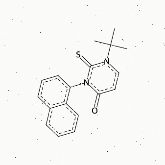 CC(C)(C)n1ccc(=O)n(-c2cccc3ccccc23)c1=S